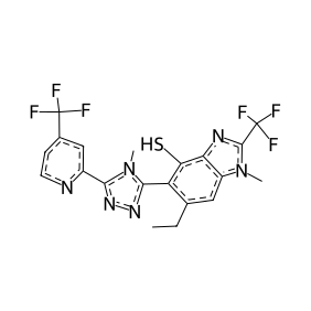 CCc1cc2c(nc(C(F)(F)F)n2C)c(S)c1-c1nnc(-c2cc(C(F)(F)F)ccn2)n1C